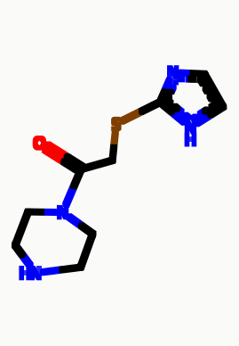 O=C(CSc1ncc[nH]1)N1CCNCC1